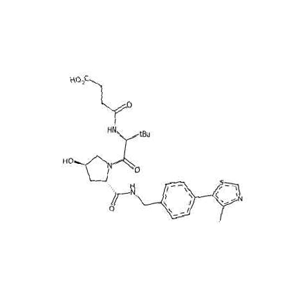 Cc1ncsc1-c1ccc(CNC(=O)[C@@H]2C[C@@H](O)CN2C(=O)C(NC(=O)CCC(=O)O)C(C)(C)C)cc1